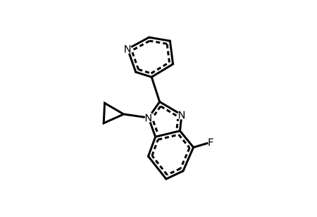 Fc1cccc2c1nc(-c1cccnc1)n2C1CC1